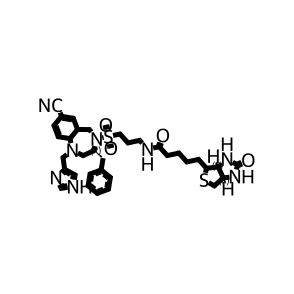 N#CC1=CC2CN(S(=O)(=O)CCCNC(=O)CCCCC3SC[C@@H]4NC(=O)N[C@H]34)[C@H](Cc3ccccc3)CN(Cc3c[nH]cn3)C2C=C1